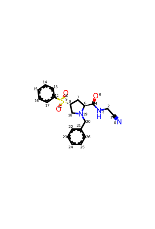 N#CCNC(=O)[C@@H]1C[C@@H](S(=O)(=O)c2ccccc2)CN1Cc1ccccc1